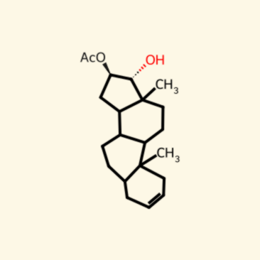 CC(=O)O[C@@H]1CC2C3CCC4CC=CCC4(C)C3CCC2(C)[C@H]1O